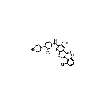 Cc1cc2c(nc1Nc1ccc(N3CCNCC3)c(C#N)c1)OCN(c1c(Cl)cccc1Cl)C2=O